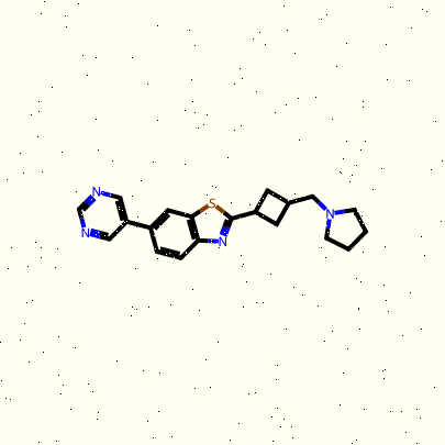 c1ncc(-c2ccc3nc(C4CC(CN5CCCC5)C4)sc3c2)cn1